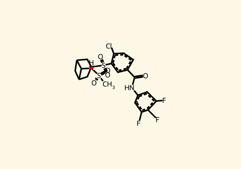 CS(=O)(=O)NC1C2CC1CC(S(=O)(=O)c1cc(C(=O)Nc3cc(F)c(F)c(F)c3)ccc1Cl)C2